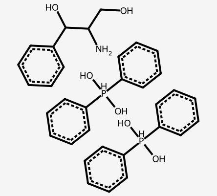 NC(CO)C(O)c1ccccc1.O[PH](O)(c1ccccc1)c1ccccc1.O[PH](O)(c1ccccc1)c1ccccc1